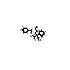 CCCC(NC(C)c1ccccc1)C(C#N)(c1ccccc1F)C(C)C